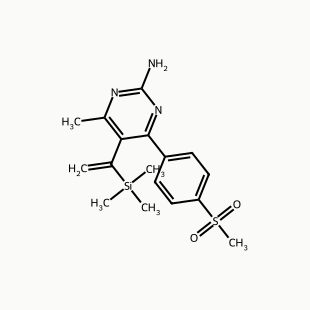 C=C(c1c(C)nc(N)nc1-c1ccc(S(C)(=O)=O)cc1)[Si](C)(C)C